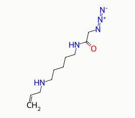 C=CCNCCCCCNC(=O)CN=[N+]=[N-]